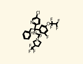 O=C(N[C@@](Cc1ccccc1)(c1cc(F)cc(OC(F)(F)C(F)F)c1)c1ccc(Cl)cn1)N1CCC(C(F)(F)F)C1